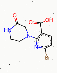 O=C1CN(c2nc(Br)ccc2C(=O)O)CCN1